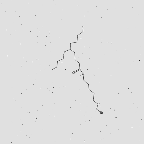 CCCCCC(CCCCC)CCCC(=O)OCCCCCCCBr